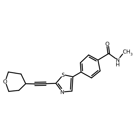 CNC(=O)c1ccc(-c2cnc(C#CC3CCOCC3)s2)cc1